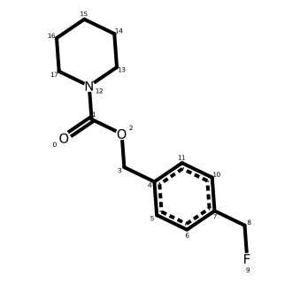 O=C(OCc1ccc(CF)cc1)N1CCCCC1